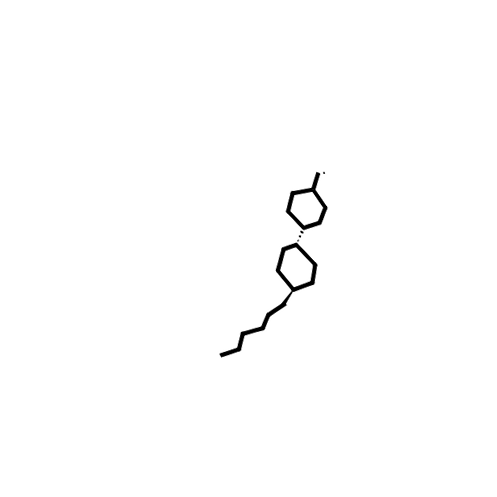 [CH2]C1CCC([C@H]2CC[C@H](CCCCCC)CC2)CC1